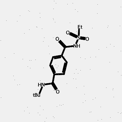 CCS(=O)(=O)NC(=O)c1ccc(C(=O)NC(C)(C)C)cc1